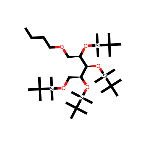 CCCCOC[C@@H](O[Si](C)(C)C(C)(C)C)[C@@H](O[Si](C)(C)C(C)(C)C)[C@H](CO[Si](C)(C)C(C)(C)C)O[Si](C)(C)C(C)(C)C